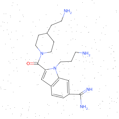 N=C(N)c1ccc2cc(C(=O)N3CCC(CCN)CC3)n(CCCN)c2c1